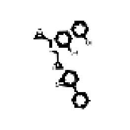 C(OCC1CO1)C1CO1.Oc1ccccc1.Oc1ccccc1.c1ccc(-c2cccc3c2O3)cc1